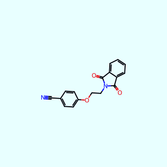 N#Cc1ccc(OCCN2C(=O)c3ccccc3C2=O)cc1